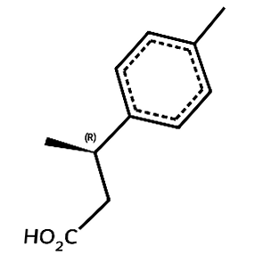 Cc1ccc([C@H](C)CC(=O)O)cc1